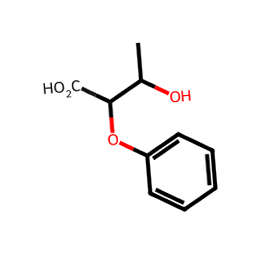 CC(O)C(Oc1ccccc1)C(=O)O